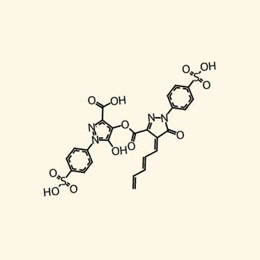 C=CC=CC=C1C(=O)N(c2ccc(S(=O)(=O)O)cc2)N=C1C(=O)Oc1c(C(=O)O)nn(-c2ccc(S(=O)(=O)O)cc2)c1O